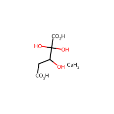 O=C(O)CC(O)C(O)(O)C(=O)O.[CaH2]